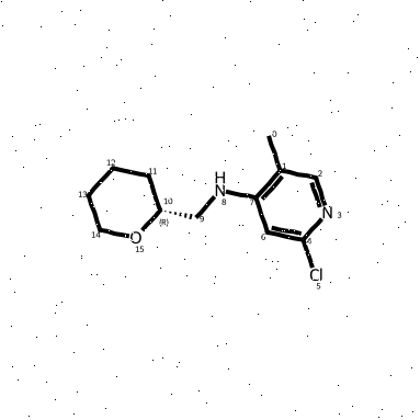 Cc1cnc(Cl)cc1NC[C@H]1CCCCO1